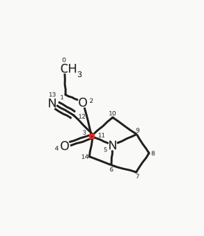 CCOC(=O)N1C2CCC1CC(C#N)C2